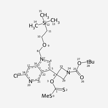 CSC(=S)OC1(c2cn(COCC[Si](C)(C)C)c3cc(Cl)ncc23)CN(C(=O)OC(C)(C)C)C1